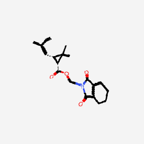 CC(C)=C[C@H]1[C@@H](C(=O)OCN2C(=O)C3=C(CCCC3)C2=O)C1(C)C